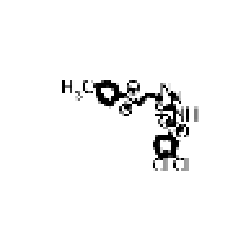 Cc1ccc(S(=O)(=O)CCc2nnc(NS(=O)(=O)c3ccc(Cl)c(Cl)c3)s2)cc1